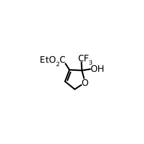 CCOC(=O)C1=CCOC1(O)C(F)(F)F